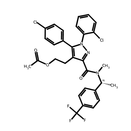 CC(=O)OCCc1c(C(=O)N(C)[C@H](C)c2ccc(C(F)(F)F)cc2)nn(-c2ccccc2Cl)c1-c1ccc(Cl)cc1